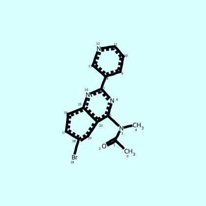 CC(=O)N(C)c1nc(-c2cccnc2)nc2ccc(Br)cc12